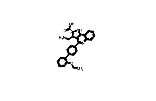 CCOc1ccccc1-c1ccc(-c2nc3ccccc3c3c2C(CN)[C@H](C(=O)O)N3)cc1